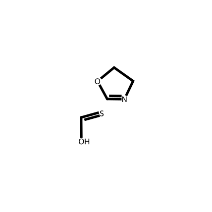 C1=NCCO1.OC=S